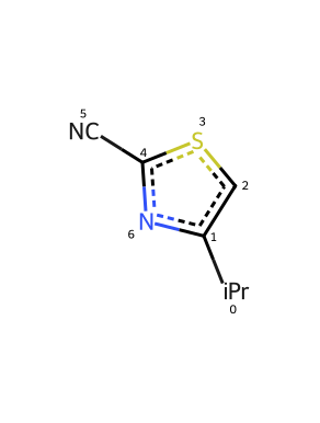 CC(C)c1csc(C#N)n1